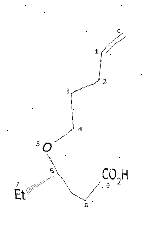 C=CCCCO[C@@H](CC)CC(=O)O